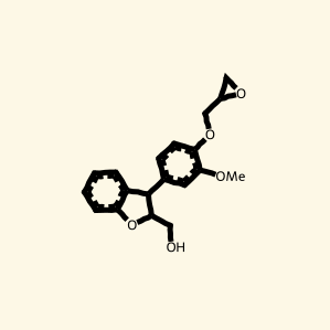 COc1cc(C2c3ccccc3OC2CO)ccc1OCC1CO1